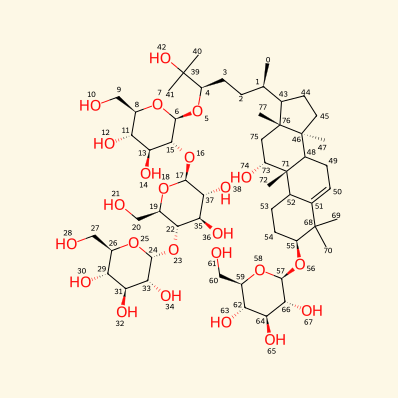 C[C@H](CC[C@@H](O[C@@H]1O[C@H](CO)[C@@H](O)[C@H](O)[C@H]1O[C@@H]1O[C@H](CO)[C@@H](O[C@H]2O[C@H](CO)[C@@H](O)[C@H](O)[C@H]2O)[C@H](O)[C@H]1O)C(C)(C)O)C1CC[C@@]2(C)C3CC=C4C(CC[C@H](O[C@@H]5O[C@H](CO)[C@@H](O)[C@H](O)[C@H]5O)C4(C)C)[C@]3(C)[C@H](O)C[C@]12C